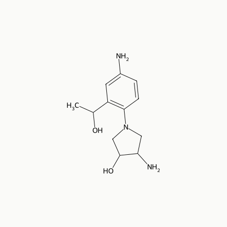 CC(O)c1cc(N)ccc1N1CC(N)C(O)C1